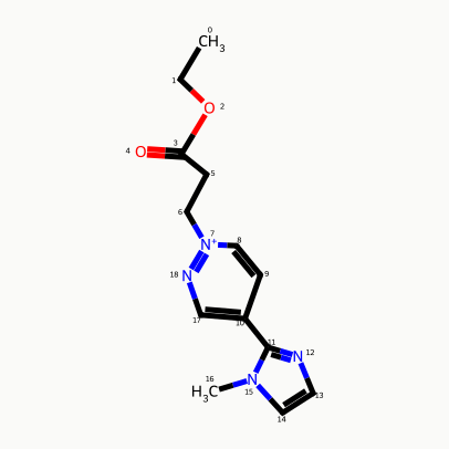 CCOC(=O)CC[n+]1ccc(-c2nccn2C)cn1